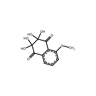 CSc1cccc2c1C(=O)C(O)(O)C(O)(O)C2=O